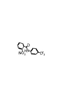 O=C(Nc1ccc(C(F)(F)F)cc1)c1ccccc1[N+](=O)[O-]